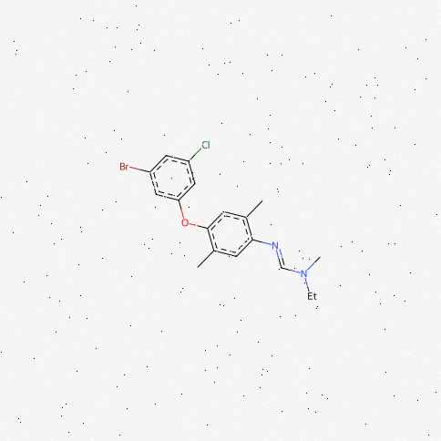 CCN(C)C=Nc1cc(C)c(Oc2cc(Cl)cc(Br)c2)cc1C